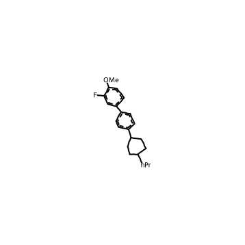 CCCC1CCC(c2ccc(-c3ccc(OC)c(F)c3)cc2)CC1